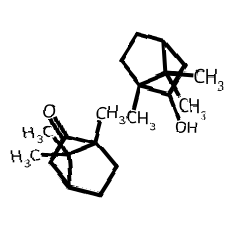 CC1(C)C2CCC1(C)C(O)C2.CC12CCC(CC1=O)C2(C)C